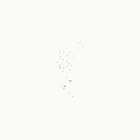 CN(C)C(C)(C)C=C(C#N)C(=O)N1CCC1Cn1c(=O)n(-c2ccc(Oc3ccccc3)cc2)c2c(N)ncnc21